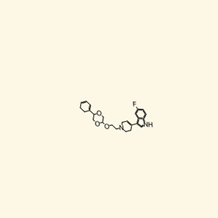 Fc1ccc2[nH]cc(C3=CCN(CCOC4COC(C5=CC=CCC5)CO4)CC3)c2c1